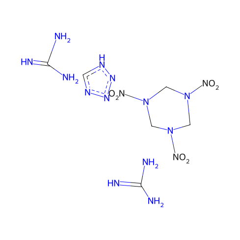 N=C(N)N.N=C(N)N.O=[N+]([O-])N1CN([N+](=O)[O-])CN([N+](=O)[O-])C1.c1nnn[nH]1